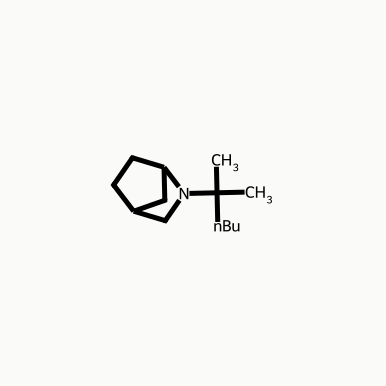 CCCCC(C)(C)N1CC2CCC1C2